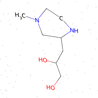 CN1CCNC(CC(O)CO)C1